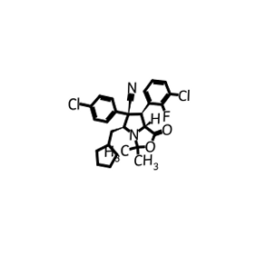 CC1(C)OC(=O)[C@H]2[C@H](c3cccc(Cl)c3F)[C@@](C#N)(c3ccc(Cl)cc3)[C@H](CC3CCCC3)N21